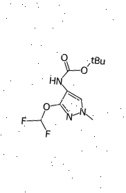 Cn1cc(NC(=O)OC(C)(C)C)c(OC(F)F)n1